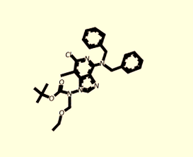 CCOCN(C(=O)OC(C)(C)C)n1cnc2c(N(Cc3ccccc3)Cc3ccccc3)nc(Cl)c(C)c21